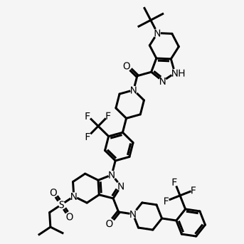 CC(C)CS(=O)(=O)N1CCc2c(c(C(=O)N3CCC(c4ccccc4C(F)(F)F)CC3)nn2-c2ccc(C3CCN(C(=O)c4n[nH]c5c4CN(C(C)(C)C)CC5)CC3)c(C(F)(F)F)c2)C1